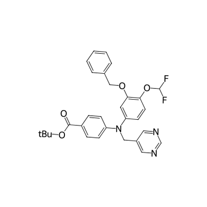 CC(C)(C)OC(=O)c1ccc(N(Cc2cncnc2)c2ccc(OC(F)F)c(OCc3ccccc3)c2)cc1